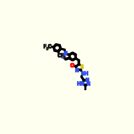 Cc1nnc(CNC2=NC(=O)C(=Cc3ccc4c(cnn4Cc4ccc(C(F)(F)F)cc4C(F)(F)F)c3)S2)[nH]1